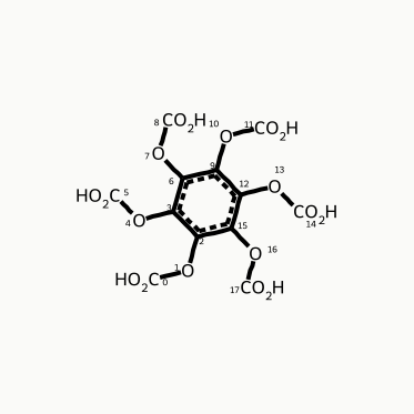 O=C(O)Oc1c(OC(=O)O)c(OC(=O)O)c(OC(=O)O)c(OC(=O)O)c1OC(=O)O